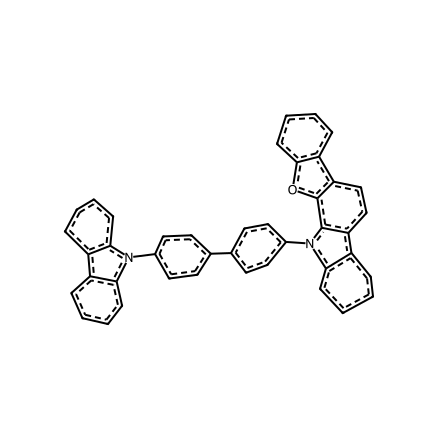 c1ccc2c(c1)oc1c2ccc2c3ccccc3n(-c3ccc(-c4ccc(-n5c6ccccc6c6ccccc65)cc4)cc3)c21